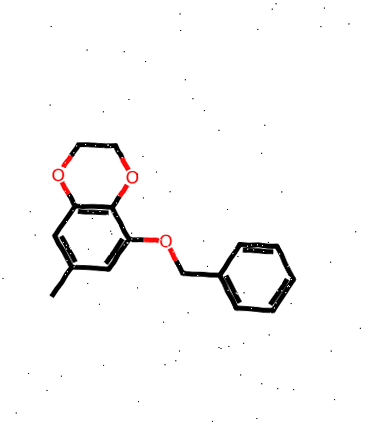 Cc1cc2c(c(OCc3ccccc3)c1)OCCO2